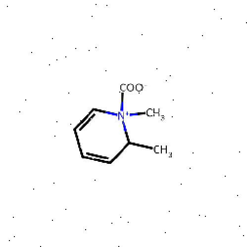 CC1C=CC=C[N+]1(C)C(=O)[O-]